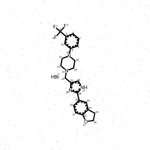 Br.FC(F)(F)c1cccc(N2CCN(Cc3c[nH]c(-c4ccc5c(c4)CCO5)n3)CC2)c1